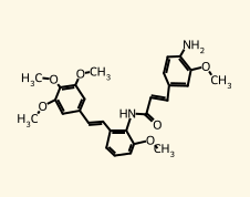 COc1cc(/C=C/C(=O)Nc2c(/C=C/c3cc(OC)c(OC)c(OC)c3)cccc2OC)ccc1N